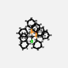 [Cl][Ni]([c]1cccc2ccccc12)([PH](c1ccccc1)(c1ccccc1)c1ccccc1)[PH](c1ccccc1)(c1ccccc1)c1ccccc1